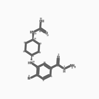 NNC(=O)c1ccc(Br)c(N[C@H]2CC[C@H](NC(=O)O)CC2)c1